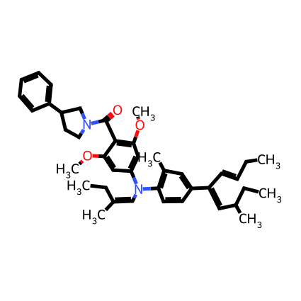 CC/C=C/C(=C\C(C)CC)c1ccc(N(/C=C(/C)CC)c2cc(OC)c(C(=O)N3CCC(c4ccccc4)C3)c(OC)c2)c(C)c1